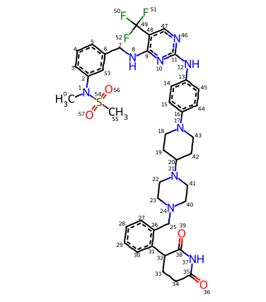 CN(c1cccc(CNc2nc(Nc3ccc(N4CCC(N5CCN(Cc6ccccc6C6CCC(=O)NC6=O)CC5)CC4)cc3)ncc2C(F)(F)F)c1)S(C)(=O)=O